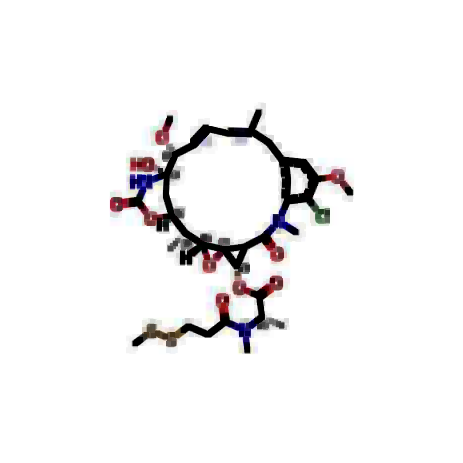 COc1cc2cc(c1Cl)N(C)C(=O)C1[C@H](OC(=O)[C@H](C)N(C)C(=O)CCSSC)[C@@]13O[C@@H]3[C@H](C)[C@@H]1C[C@@](O)(NC(=O)O1)[C@H](OC)/C=C/C=C(\C)C2